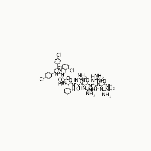 N=C(N)NC(NC(=O)C(NC(=N)N)NC(=O)C(NC(=N)N)NC(=O)C(NC(=N)N)NC(=O)C(NC(=O)C(O)N(Cc1c(Cl)cccc1Cl)c1nc(-c2ccc(Cl)cc2)cc(-c2ccc(Cl)cc2)n1)c1ccccc1)C(N)=O